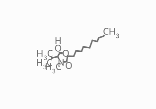 CCCCCCCCCCCC(=O)N(C)C(C(=O)O)C(C)C